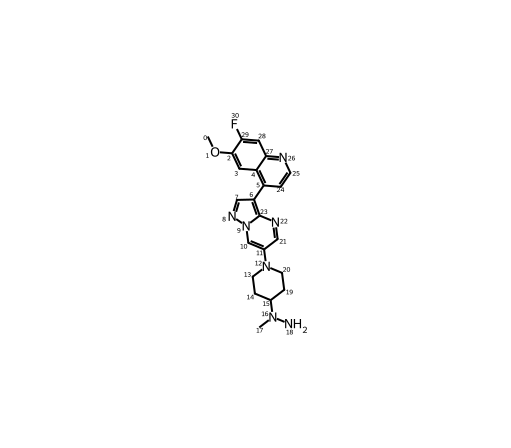 COc1cc2c(-c3cnn4cc(N5CCC(N(C)N)CC5)cnc34)ccnc2cc1F